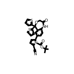 CC(C)(C)OC(=O)n1c(C#N)ccc1-c1ccc2c(c1)C(c1cccs1)(c1cccs1)OCC(=O)N2